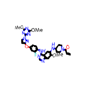 C=CC(=O)N1CCC(Nc2cc3c(Nc4ccc(Oc5ccn(-c6nc(OC)nc(OC)n6)n5)cc4F)ncnc3cc2OC)CC1